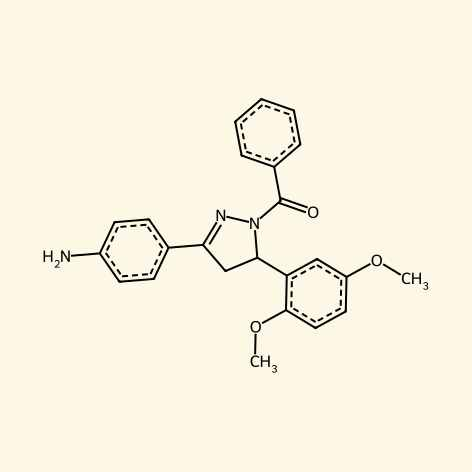 COc1ccc(OC)c(C2CC(c3ccc(N)cc3)=NN2C(=O)c2ccccc2)c1